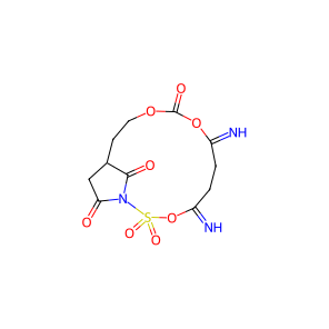 N=C1CCC(=N)OS(=O)(=O)N2C(=O)CC(CCOC(=O)O1)C2=O